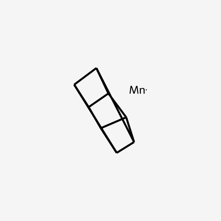 C12C3C4C1C1C2C3C41.[Mn]